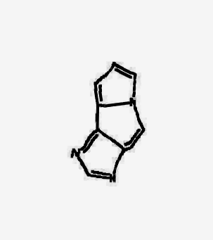 C1=Nc2cn3cccc3c2=N1